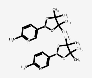 CC1(C)OB(c2ccc(N)nc2)OC1(C)C.CC1(C)OB(c2ccc(N)nc2)OC1(C)C